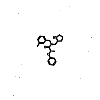 Cc1cccc(CN(CC2CCCN2)C(=O)[C@@H](C)Oc2ccccc2)c1